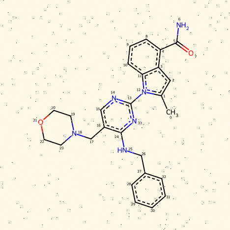 Cc1cc2c(C(N)=O)cccc2n1-c1ncc(CN2CCOCC2)c(NCc2ccccc2)n1